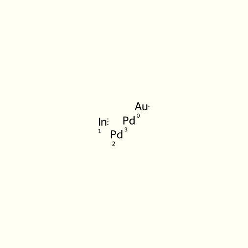 [Au].[In].[Pd].[Pd]